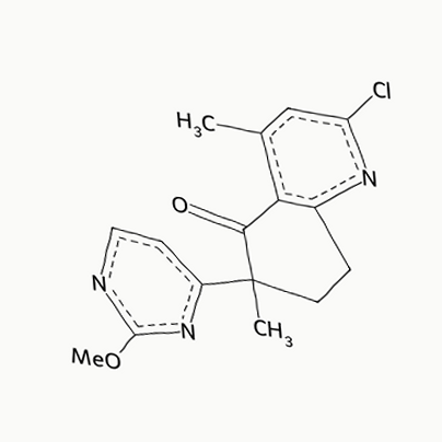 COc1nccc(C2(C)CCc3nc(Cl)cc(C)c3C2=O)n1